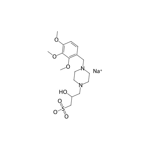 COc1ccc(CN2CCN(CC(O)CS(=O)(=O)[O-])CC2)c(OC)c1OC.[Na+]